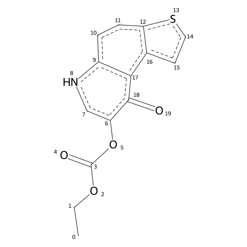 CCOC(=O)Oc1c[nH]c2ccc3sccc3c2c1=O